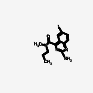 CCCN(C)C(=O)c1nc(N)nc2ccc(I)cc12